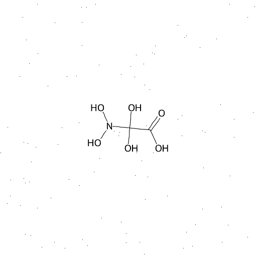 O=C(O)C(O)(O)N(O)O